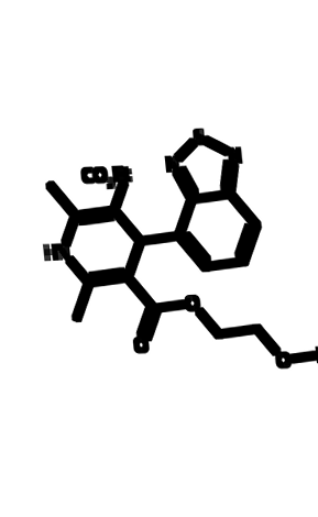 CCOCCOC(=O)C1=C(C)NC(C)=C(C(=O)OCC)C1c1cccc2nsnc12